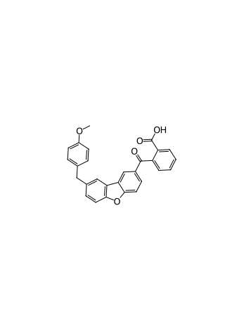 COc1ccc(Cc2ccc3oc4ccc(C(=O)c5ccccc5C(=O)O)cc4c3c2)cc1